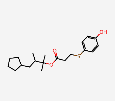 CC(CC1CCCC1)C(C)(C)OC(=O)CCSc1ccc(O)cc1